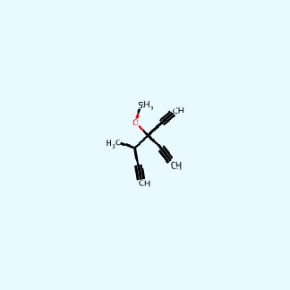 C#CC(C)C(C#C)(C#C)O[SiH3]